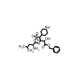 CC(C)C[C@H](N)C(=O)NC(C(O)C(=O)OCc1ccccc1)C(C1CCCCC1)S(=O)(=O)[O-].[Na+]